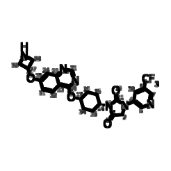 O=C1CN(c2cncc(C(F)(F)F)c2)C(=O)N1[C@H]1CC[C@H](Oc2ncnc3cc(OC4CNC4)ccc23)CC1